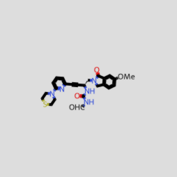 COc1ccc2c(c1)C(=O)N(C[C@@H](C#Cc1cccc(N3CCSCC3)n1)NC(=O)NC=O)C2